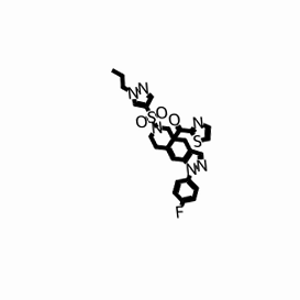 CCCn1cc(S(=O)(=O)N2CCC3=Cc4c(cnn4-c4ccc(F)cc4)CC3(C(=O)c3nccs3)C2)cn1